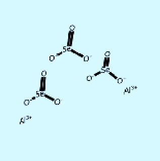 O=[Se]([O-])[O-].O=[Se]([O-])[O-].O=[Se]([O-])[O-].[Al+3].[Al+3]